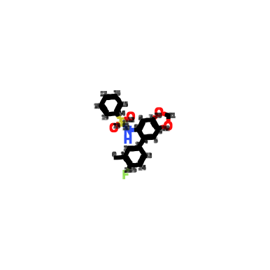 Cc1cc(-c2cc3c(cc2NS(=O)(=O)c2ccccc2)OCO3)ccc1F